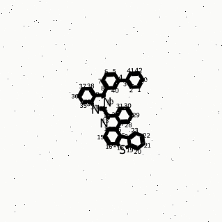 c1ccc(-c2cccc(-c3nc(-c4nc5ccc6sc7ccccc7c6c5c5ccccc45)nc4ccccc34)c2)cc1